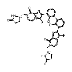 O=C1CC[C@@H](Cn2ccn3c(F)c(-c4cccc(-c5cccc(-c6nc7c(=O)n(C[C@@H]8CCC(=O)N8)ccn7c6F)c5Cl)c4Cl)nc3c2=O)N1